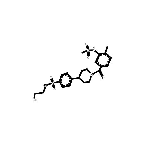 Cc1ccc(C(=O)N2CCC(c3ccc(S(=O)(=O)NCCO)cc3)CC2)cc1NS(C)(=O)=O